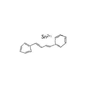 C(C=Cc1ccccc1)=Cc1ccccc1.[Sn+2]